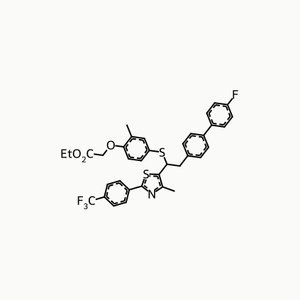 CCOC(=O)COc1ccc(SC(Cc2ccc(-c3ccc(F)cc3)cc2)c2sc(-c3ccc(C(F)(F)F)cc3)nc2C)cc1C